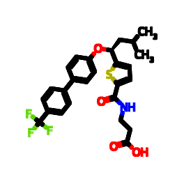 CC(C)C[C@H](Oc1ccc(-c2ccc(C(F)(F)F)cc2)cc1)c1ccc(C(=O)NCCC(=O)O)s1